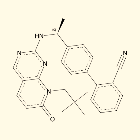 C[C@H](Nc1ncc2ccc(=O)n(CC(C)(C)C)c2n1)c1ccc(-c2ccccc2C#N)cc1